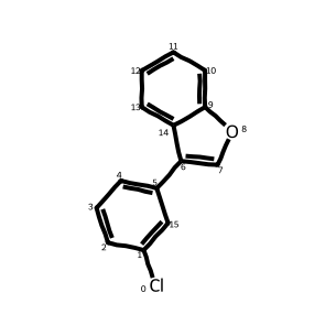 Clc1cccc(-c2coc3ccccc23)c1